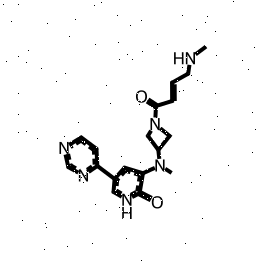 CNCC=CC(=O)N1CC(N(C)c2cc(-c3ccncn3)c[nH]c2=O)C1